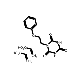 C=CC(=O)O.C=CC(=O)O.O=c1[nH]c(=O)n(CCOc2ccccc2)c(=O)[nH]1